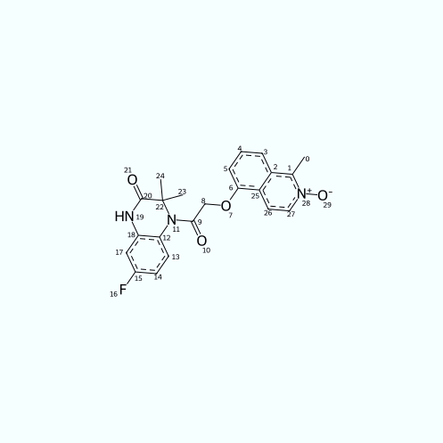 Cc1c2cccc(OCC(=O)N3c4ccc(F)cc4NC(=O)C3(C)C)c2cc[n+]1[O-]